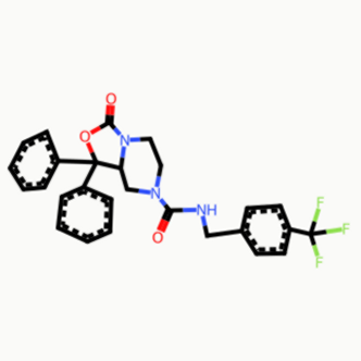 O=C(NCc1ccc(C(F)(F)F)cc1)N1CCN2C(=O)OC(c3ccccc3)(c3ccccc3)C2C1